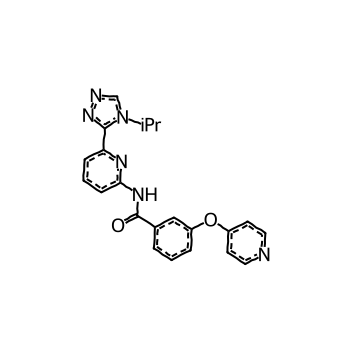 CC(C)n1cnnc1-c1cccc(NC(=O)c2cccc(Oc3ccncc3)c2)n1